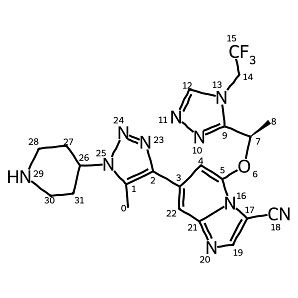 Cc1c(-c2cc(O[C@H](C)c3nncn3CC(F)(F)F)n3c(C#N)cnc3c2)nnn1C1CCNCC1